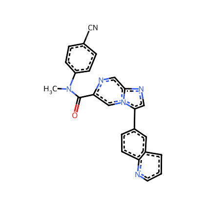 CN(C(=O)c1cn2c(-c3ccc4ncccc4c3)cnc2cn1)c1ccc(C#N)cc1